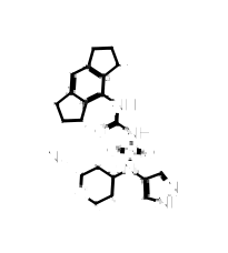 O=C(Nc1c2c(cc3c1CCC3)CCC2)NS(=O)(=O)N(c1cn[nH]c1)C1CCOCC1.[Na]